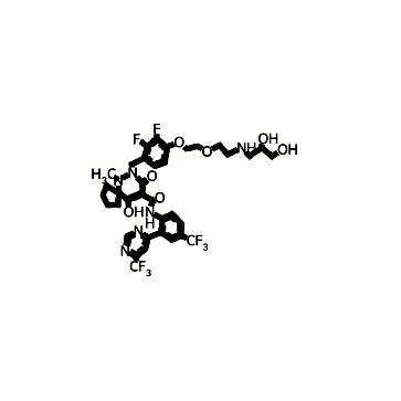 CN1N(Cc2ccc(OCCOCCNCC(O)CO)c(F)c2F)C(=O)C(C(=O)Nc2ccc(C(F)(F)F)cc2-c2cc(C(F)(F)F)ncn2)=C(O)C12CCCC2